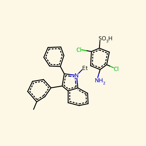 CCn1c(-c2ccccc2)c(-c2cccc(C)c2)c2ccccc21.Nc1cc(Cl)c(S(=O)(=O)O)cc1Cl